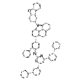 c1ccc(-c2cccc(-c3cc(-c4cccc(-c5ccccc5)c4)nc(-n4c5ccccc5c5cc(-c6ccc7c8c6ccc6cccc(c68)n7-c6ccc7oc8ccccc8c7c6)ccc54)n3)c2)cc1